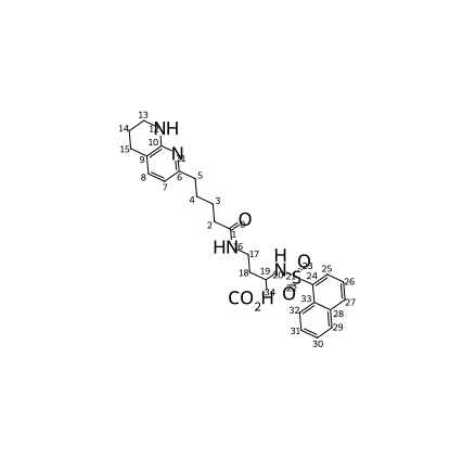 O=C(CCCCc1ccc2c(n1)NCCC2)NCCC(NS(=O)(=O)c1cccc2ccccc12)C(=O)O